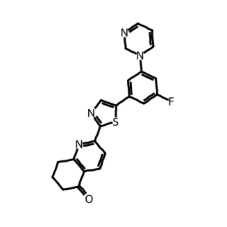 O=C1CCCc2nc(-c3ncc(-c4cc(F)cc(N5C=CC=NC5)c4)s3)ccc21